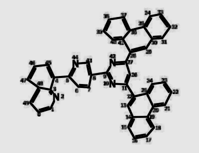 c1cnc2c(-c3ccc(-c4nc(-c5cc6ccccc6c6ccccc56)cc(-c5cc6ccccc6c6ccccc56)n4)cn3)cccc2c1